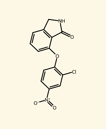 O=C1NCc2cccc(Oc3ccc([N+](=O)[O-])cc3Cl)c21